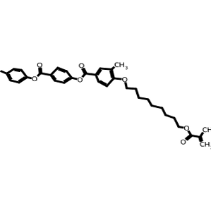 C=C(C)C(=O)OCCCCCCCCCOc1ccc(C(=O)Oc2ccc(C(=O)Oc3ccc(CC)cc3)cc2)cc1C